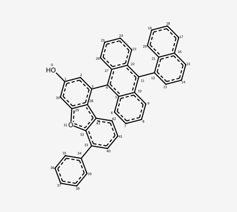 Oc1cc(-c2c3ccccc3c(-c3cccc4ccccc34)c3ccccc23)c2c(c1)oc1c(-c3ccccc3)cccc12